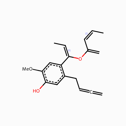 C=C=CCc1cc(O)c(OC)cc1/C(=C\C)OC(=C)/C=C\C